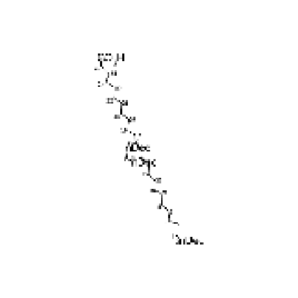 CCCCCCCCCCCCCCCCCCCCC.CCCCCCCCCCCCCCCCCCCCCCCCCCCCCCCCCC(=O)O